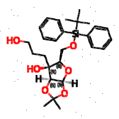 CC1(C)O[C@@H]2O[C@H](CO[Si](c3ccccc3)(c3ccccc3)C(C)(C)C)[C@@](O)(CCCO)[C@@H]2O1